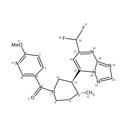 COc1ccc(C(=O)N2CC[C@@H](C)[C@H](c3cc(C(F)F)nc4ncnn34)C2)cn1